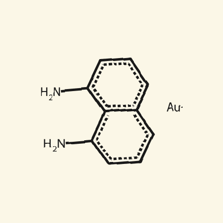 Nc1cccc2cccc(N)c12.[Au]